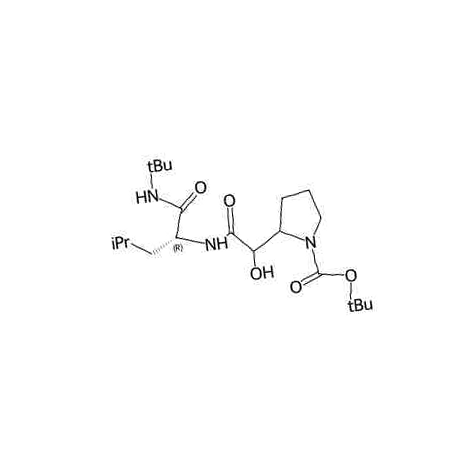 CC(C)C[C@@H](NC(=O)C(O)C1CCCN1C(=O)OC(C)(C)C)C(=O)NC(C)(C)C